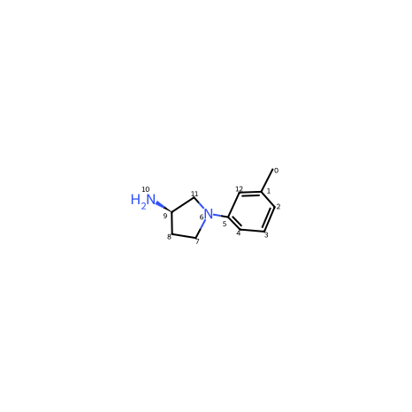 Cc1cccc(N2CC[C@@H](N)C2)c1